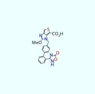 COc1nc2csc(C(=O)O)c2n1Cc1ccc(-c2ccccc2-c2nc(=O)o[nH]2)cc1